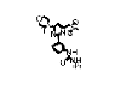 CC(C)NC(=O)Nc1cccc(-c2nc(CS(C)(=O)=O)cc(N3CCOC[C@@H]3C)n2)c1